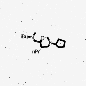 CCC[C@@H](CN(C)C1CCCC1)C(=O)CN(C)C(C)CC